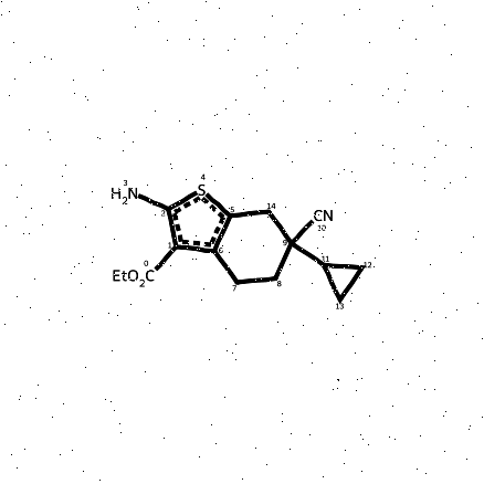 CCOC(=O)c1c(N)sc2c1CCC(C#N)(C1CC1)C2